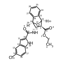 CCOC(=O)[C@H]1[C@H](NC(=O)c2cc3cc(Cl)ccc3[nH]2)[C@@H]2O[C@H]1c1ccccc12